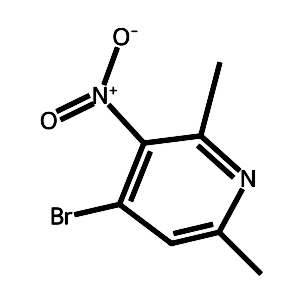 Cc1cc(Br)c([N+](=O)[O-])c(C)n1